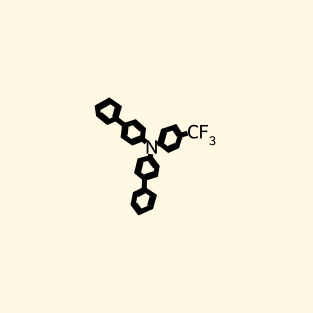 FC(F)(F)c1ccc(N(c2ccc(-c3ccccc3)cc2)c2ccc(-c3ccccc3)cc2)cc1